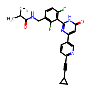 CC(C)C(=O)NCc1ccc(F)c(-c2nc(-c3ccc(C#CC4CC4)nc3)cc(=O)[nH]2)c1F